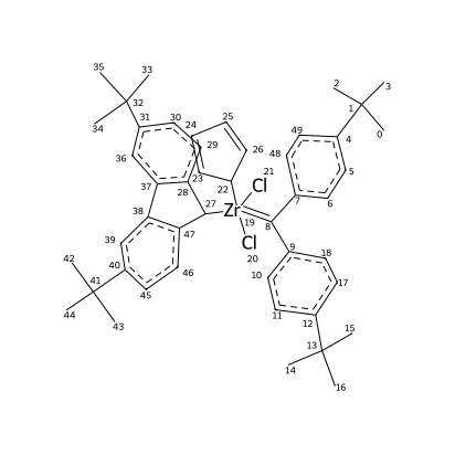 CC(C)(C)c1ccc([C](c2ccc(C(C)(C)C)cc2)=[Zr]([Cl])([Cl])([CH]2C=CC=C2)[CH]2c3ccc(C(C)(C)C)cc3-c3cc(C(C)(C)C)ccc32)cc1